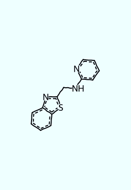 c1ccc(NCc2nc3ccccc3s2)nc1